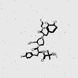 CCCC1CN(C(Cc2ccc(Cl)c(Cl)c2)C(=O)NCCF)CCN1C(=O)C(Cc1ccc(F)cc1)NC(=O)C(C)(C)N